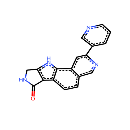 O=C1NCc2[nH]c3c(ccc4cnc(-c5cccnc5)cc43)c21